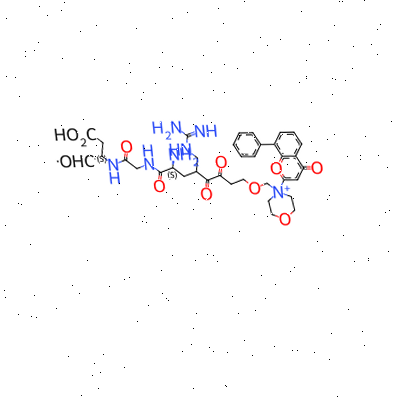 N=C(N)NCC(C[C@H](N)C(=O)NCC(=O)N[C@H]([C]=O)CC(=O)O)C(=O)C(=O)CCOC[N+]1(c2cc(=O)c3cccc(-c4ccccc4)c3o2)CCOCC1